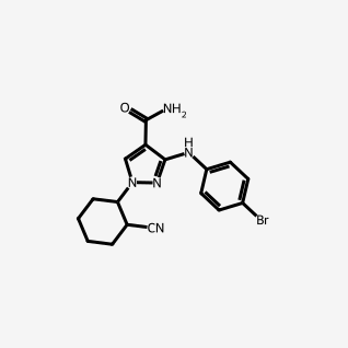 N#CC1CCCCC1n1cc(C(N)=O)c(Nc2ccc(Br)cc2)n1